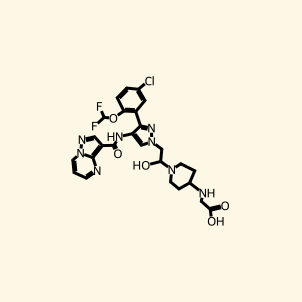 O=C(O)CNC1CCN(C(O)Cn2cc(NC(=O)c3cnn4cccnc34)c(-c3cc(Cl)ccc3OC(F)F)n2)CC1